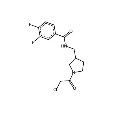 O=C(NCC1CCN(C(=O)CCl)C1)c1ccc(F)c(F)c1